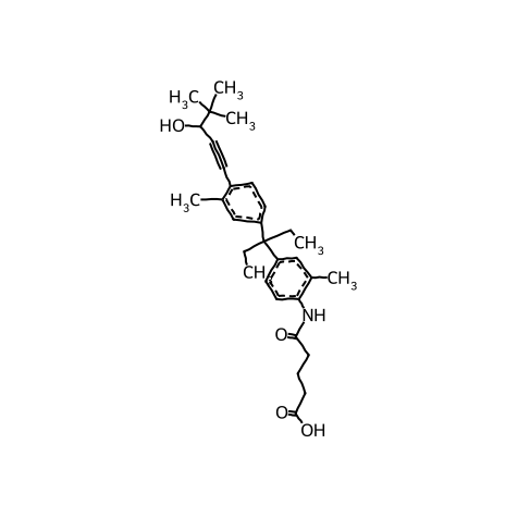 CCC(CC)(c1ccc(C#CC(O)C(C)(C)C)c(C)c1)c1ccc(NC(=O)CCCC(=O)O)c(C)c1